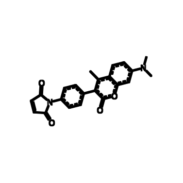 Cc1c(-c2ccc(N3C(=O)C=CC3=O)cc2)c(=O)oc2cc(N(C)C)ccc12